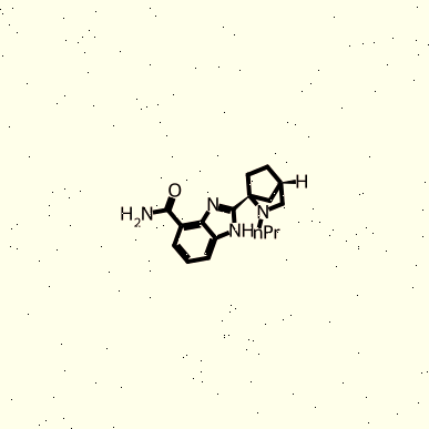 CCCN1C[C@H]2CC[C@]1(c1nc3c(C(N)=O)cccc3[nH]1)C2